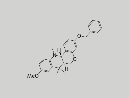 COc1ccc2c(c1)C(C)(C)[C@@H]1COc3cc(OCc4ccccc4)ccc3[C@H]1N2C